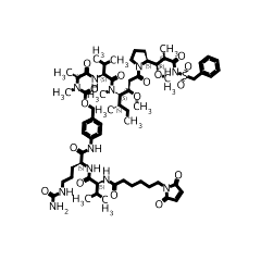 CC[C@H](C)[C@@H]([C@@H](CC(=O)N1CCC[C@H]1[C@H](OC)[C@@H](C)C(=O)NS(=O)(=O)Cc1ccccc1)OC)N(C)C(=O)[C@@H](NC(=O)[C@H](C)N(C)C(=O)OCc1ccc(NC(=O)[C@H](CCCNC(N)=O)NC(=O)[C@@H](NC(=O)CCCCCN2C(=O)C=CC2=O)C(C)C)cc1)C(C)C